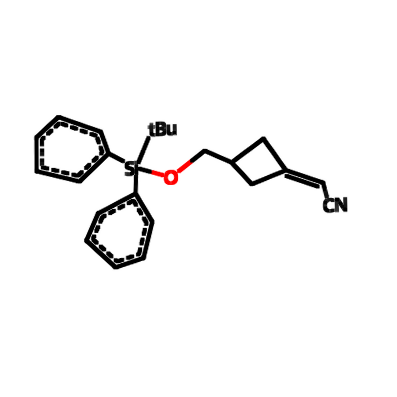 CC(C)(C)[Si](OCC1CC(=CC#N)C1)(c1ccccc1)c1ccccc1